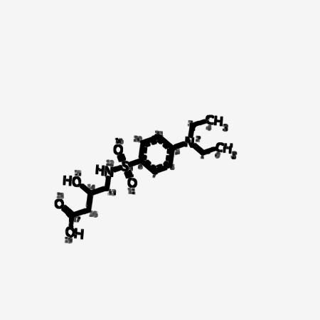 CCN(CC)c1ccc(S(=O)(=O)NCC(O)CC(=O)O)cc1